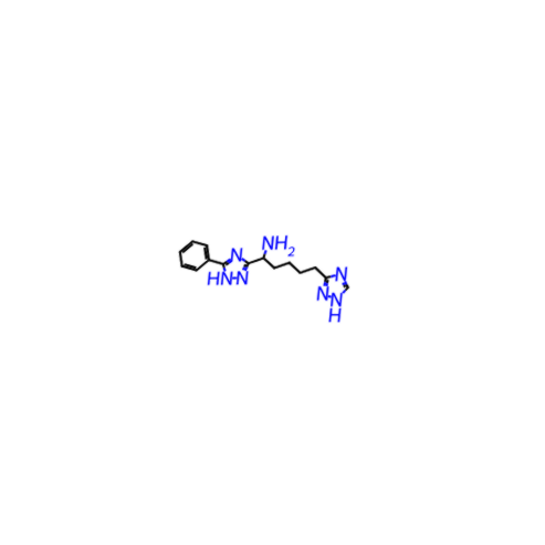 NC(CCCCc1nc[nH]n1)c1n[nH]c(-c2ccccc2)n1